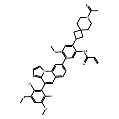 C=CC(=O)Nc1cc(-c2cc3c(cn2)cc(-c2c(Cl)c(OC)cc(OC)c2Cl)c2nccn23)c(OC)cc1N1CC2(CCN(C(C)=O)CC2)C1